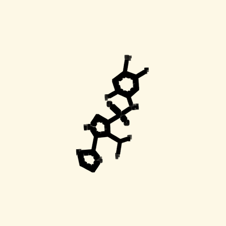 O=S(=O)(Nc1cc(F)c(Br)cc1F)c1c[nH]c(-c2nccs2)c1C(F)F